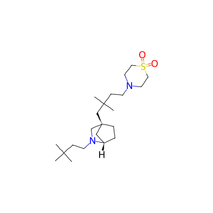 CC(C)(C)CCN1C[C@]2(CC(C)(C)CCN3CCS(=O)(=O)CC3)CC[C@H]1C2